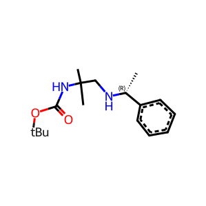 C[C@@H](NCC(C)(C)NC(=O)OC(C)(C)C)c1ccccc1